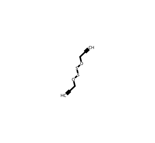 C#CCOSSOCC#C